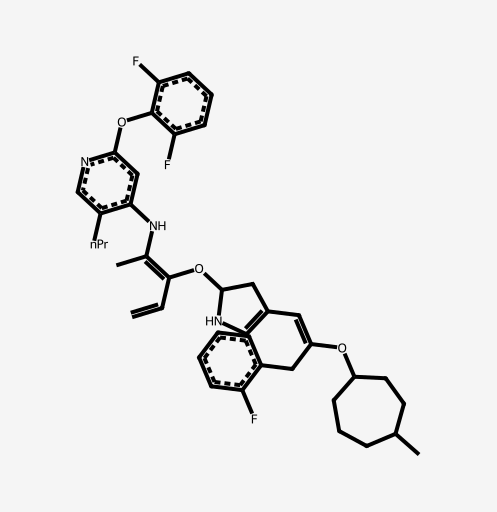 C=C/C(OC1CC(/C=C(\Cc2ccccc2F)OC2CCCC(C)CC2)=CN1)=C(\C)Nc1cc(Oc2c(F)cccc2F)ncc1CCC